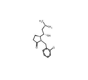 CN(C)C[C@H](O)[C@@H]1CCC(=O)N1Cc1ccccc1Cl